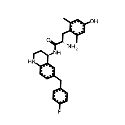 Cc1cc(O)cc(C)c1C[C@H](N)C(=O)N[C@@H]1CCNc2ccc(Cc3ccc(F)cc3)cc21